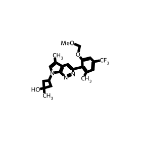 COCOc1cc(C(F)(F)F)cc(C)c1-c1cc2c(C)cn(C3CC(C)(O)C3)c2nn1